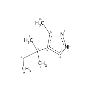 CCC(C)(C)c1c[nH]nc1C